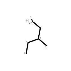 BCC(C)CC